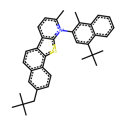 Cc1c(-[n+]2c(C)ccc3c4ccc5cc(CC(C)(C)C)ccc5c4sc32)cc(C(C)(C)C)c2ccccc12